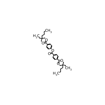 CCCCC1(CC)COB(c2ccc(OC(=O)c3ccc(B4OCC(CC)(CCCC)CO4)cc3)cc2)OC1